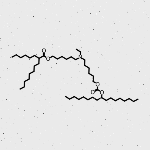 CCCCCCCCC(CCCCCCCC)OC(=O)OCCCCCCN(CC)CCCCCCOC(=O)C(CCCCCC)CCCCCCCC